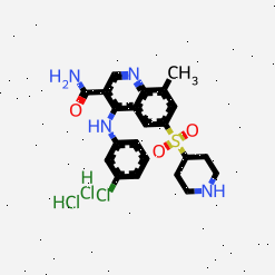 Cc1cc(S(=O)(=O)C2CCNCC2)cc2c(Nc3cccc(Cl)c3)c(C(N)=O)cnc12.Cl.Cl